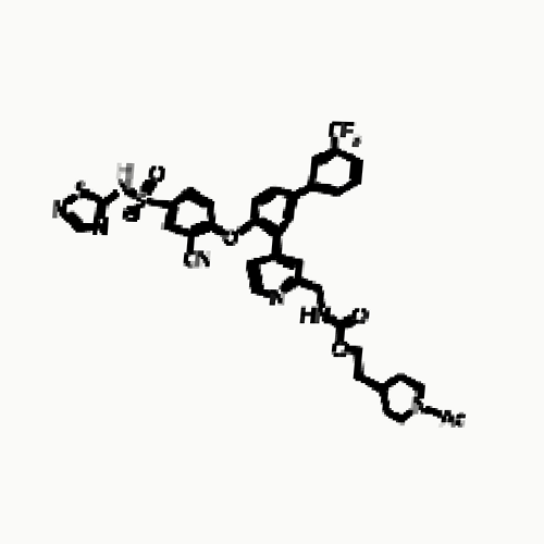 CC(=O)N1CCC(CCOC(=O)NCc2cc(-c3cc(-c4cccc(C(F)(F)F)c4)ccc3Oc3ccc(S(=O)(=O)Nc4ncns4)cc3C#N)ccn2)CC1